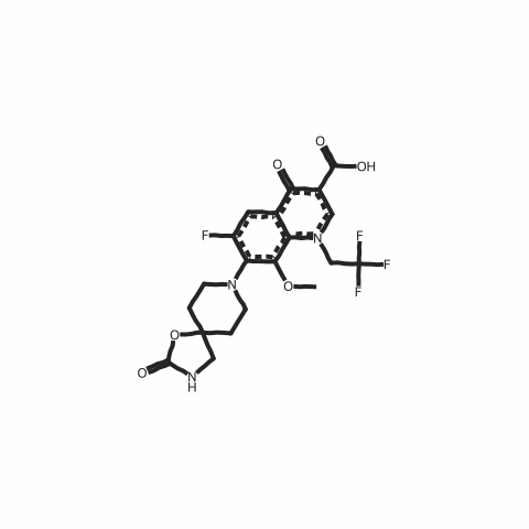 COc1c(N2CCC3(CC2)CNC(=O)O3)c(F)cc2c(=O)c(C(=O)O)cn(CC(F)(F)F)c12